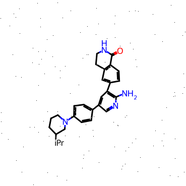 CC(C)C1CCCN(c2ccc(-c3cnc(N)c(-c4ccc5c(c4)CCNC5=O)c3)cc2)C1